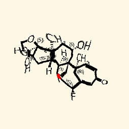 C[C@]12C=CC(=O)C=C1[C@@H](F)C[C@H]1[C@@H]3C[C@H]4OCO[C@@]4(C(=O)O)[C@@]3(C)C[C@H](O)[C@@]12CF